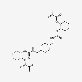 C=C(C)C(=O)OC1CCCCC1OC(=O)NCC1CCC(CNC(=O)OC2CCCCC2OC(=O)C(=C)C)CC1